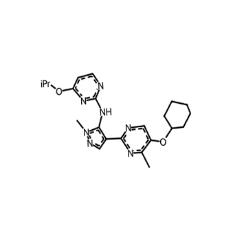 Cc1nc(-c2cnn(C)c2Nc2nccc(OC(C)C)n2)ncc1OC1CCCCC1